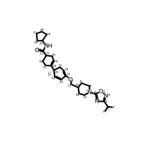 CC(C)c1noc(N2CCC(COC3=CC[C@](C)(C4=CCC(C(=O)NC5CCCC5)CC4)C=C3)CC2)n1